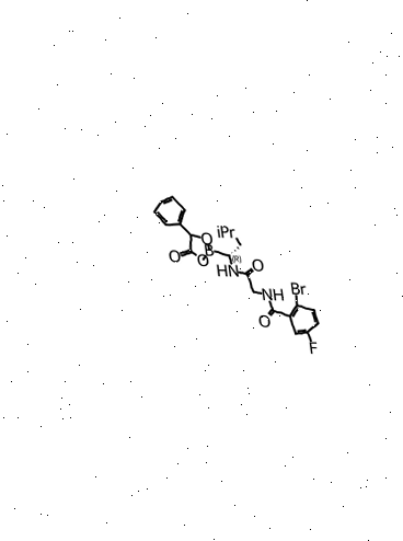 CC(C)C[C@H](NC(=O)CNC(=O)c1cc(F)ccc1Br)B1OC(=O)C(c2ccccc2)O1